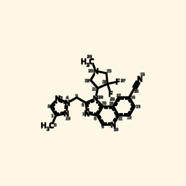 Cc1cnn(Cc2nc3cnc4ccc(C#N)cc4c3n2C2CN(C)CC2(F)F)n1